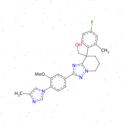 COc1cc(-c2nc3n(n2)CCCC3(CO)c2ccc(F)cc2C)ccc1-n1cnc(C)c1